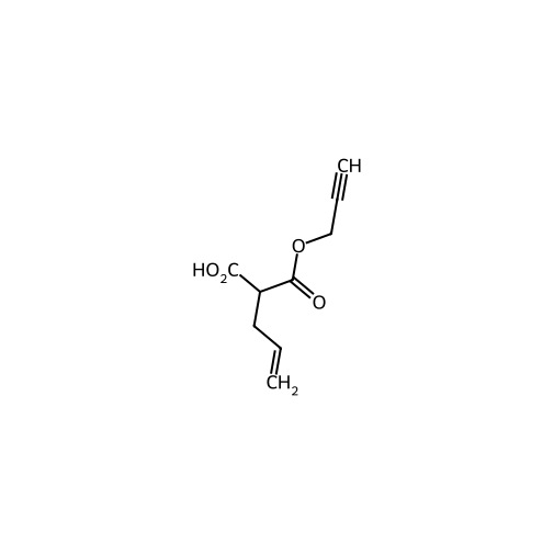 C#CCOC(=O)C(CC=C)C(=O)O